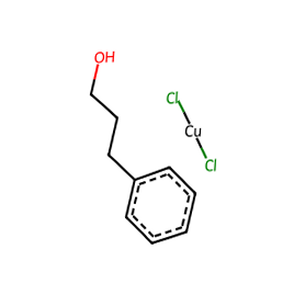 OCCCc1ccccc1.[Cl][Cu][Cl]